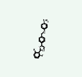 Cc1ccc(OCc2ccc(C3COC(c4c(F)cccc4F)=N3)cc2)cc1